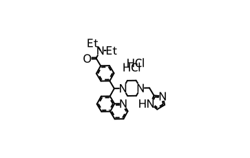 CCN(CC)C(=O)c1ccc(C(c2cccc3cccnc23)N2CCN(Cc3ncc[nH]3)CC2)cc1.Cl.Cl